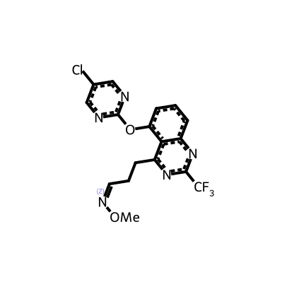 CO/N=C\CCc1nc(C(F)(F)F)nc2cccc(Oc3ncc(Cl)cn3)c12